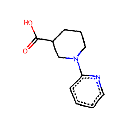 O=C(O)C1CCCN(c2ccccn2)C1